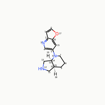 c1cc2ncc(N3CCC[C@H]4CNC[C@H]43)cc2o1